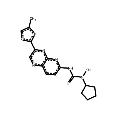 Cc1csc(-c2cnc3ccc(NC(=O)N(S)C4CCCC4)nc3n2)n1